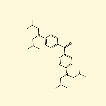 CC(C)CN(CC(C)C)c1ccc(C(=O)c2ccc(N(CC(C)C)CC(C)C)cc2)cc1